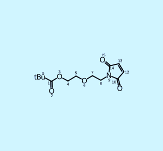 CC(C)(C)C(=O)OCCOCCN1C(=O)C=CC1=O